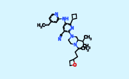 C=Cc1ccnc(Nc2cc(C#N)c(N3CCN(C(=C)CCC4CCO4)C(C(C)C)C3)nc2C2CCC2)c1